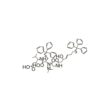 CC(C)C[C@@H](NC(=O)C[C@@H](O)/C=C/CCSC(c1ccccc1)(c1ccccc1)c1ccccc1)C(=O)N[C@H](CSC(c1ccccc1)(c1ccccc1)c1ccccc1)C(=O)N[C@H](C(C)C)[C@@H](O)CC(=O)O